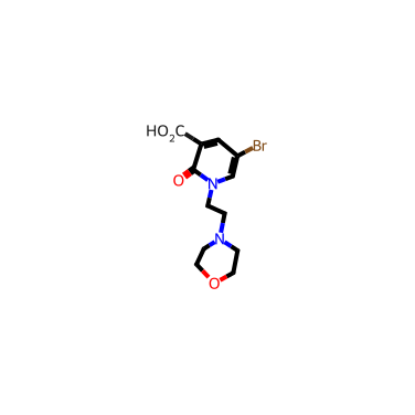 O=C(O)c1cc(Br)cn(CCN2CCOCC2)c1=O